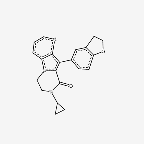 O=C1c2c(-c3ccc4c(c3)CCO4)c3ncccc3n2CCN1C1CC1